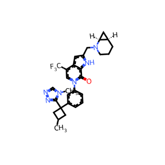 CC1CC(c2cccc(-n3cc(C(F)(F)F)c4cc(CN5CCC[C@@H]6C[C@@H]65)[nH]c4c3=O)c2)(c2nncn2C)C1